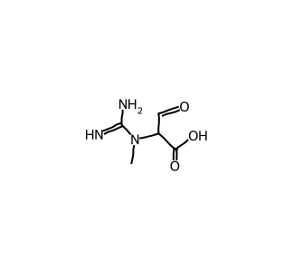 CN(C(=N)N)C(C=O)C(=O)O